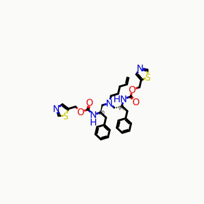 C=CCCCN(C[C@@H](Cc1ccccc1)NC(=O)OCc1cncs1)C[C@@H](Cc1ccccc1)NC(=O)OCc1cncs1